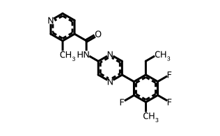 CCc1c(F)c(F)c(C)c(F)c1-c1cnc(NC(=O)c2ccncc2C)cn1